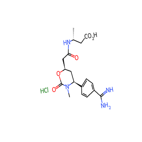 C[C@H](CC(=O)O)NC(=O)C[C@H]1C[C@@H](c2ccc(C(=N)N)cc2)N(C)C(=O)O1.Cl